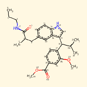 CCCNC(=O)C(C)Cc1ccc2[nH]cc(C(c3ccc(C(=O)OC)cc3OC)C(C)C)c2c1